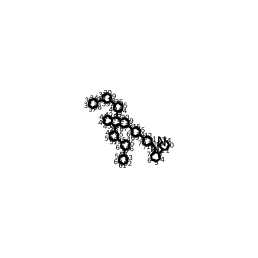 C1=CC2c3ccccc3N(c3ccc(-c4ccc(-c5ccc6c(-c7cccc(-c8cccc(-c9ccccc9)c8)c7)c7ccccc7c(-c7cccc(-c8cccc(-c9ccccc9)c8)c7)c6c5)cc4)cc3)C2N=C1